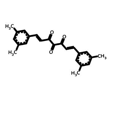 Cc1cc(C)cc(C=CC(=O)C(=O)C(=O)C=Cc2cc(C)cc(C)c2)c1